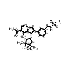 CC1(C)[C@H](Nc2c(C(N)=O)cnn3cc(-c4cccc(CNS(C)(=O)=O)c4)cc23)CC[C@]1(C)N